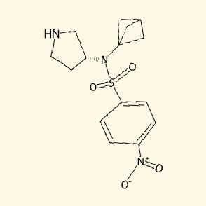 O=[N+]([O-])c1ccc(S(=O)(=O)N([C@@H]2CCNC2)C23CC(C2)C3)cc1